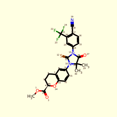 COC(=O)[C@H]1CCc2cc(N3C(=S)N(c4ccc(C#N)c(C(F)(F)F)c4)C(=O)C3(C)C)ccc2O1